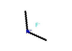 CCCCCCCCCCCCCCCCCC[N+](C)(C)CCCCCCCCCCCCCCCCCC.[F-]